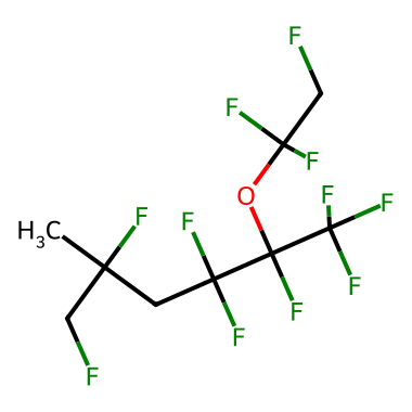 CC(F)(CF)CC(F)(F)C(F)(OC(F)(F)CF)C(F)(F)F